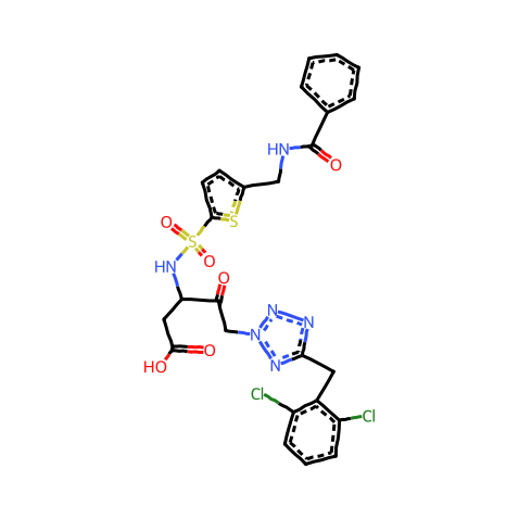 O=C(O)CC(NS(=O)(=O)c1ccc(CNC(=O)c2ccccc2)s1)C(=O)Cn1nnc(Cc2c(Cl)cccc2Cl)n1